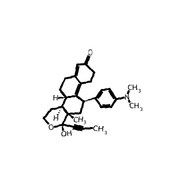 CC#C[C@]1(O)OCC[C@H]2[C@@H]3CCC4=CC(=O)CCC4=C3[C@@H](c3ccc(N(C)C)cc3)C[C@@]21C